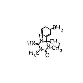 BC1C=C(C2(C)NC(=N)N(C)C(=O)N2C)C=CC1